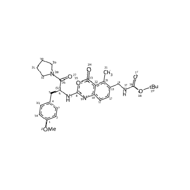 COc1ccc(C[C@H](Nc2nc3ccc(CNC(=O)OC(C)(C)C)c(C)c3c(=O)o2)C(=O)N2CCCC2)cc1